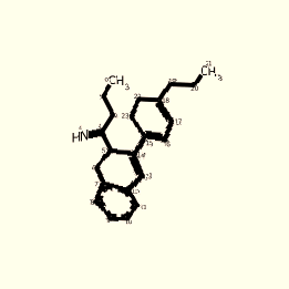 CCCC(=N)C1Cc2ccccc2C=C1C1=CC=C(CCC)CC1